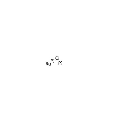 [C].[P].[P].[Ru]